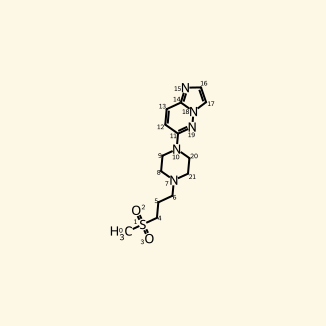 CS(=O)(=O)CCCN1CCN(c2ccc3nccn3n2)CC1